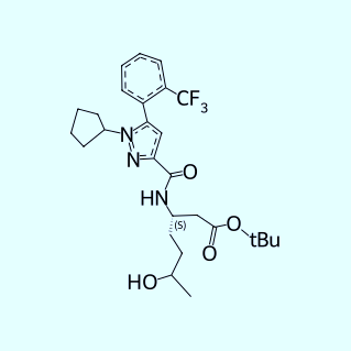 CC(O)CC[C@@H](CC(=O)OC(C)(C)C)NC(=O)c1cc(-c2ccccc2C(F)(F)F)n(C2CCCC2)n1